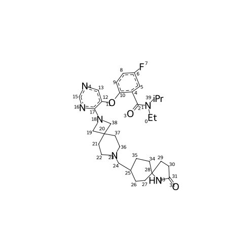 CCN(C(=O)c1cc(F)ccc1Oc1cncnc1N1CC2(CCN(CC3CCC4(CCC(=O)N4)CC3)CC2)C1)C(C)C